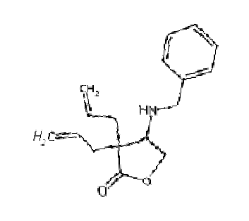 C=CCC1(CC=C)C(=O)OCC1NCc1ccccc1